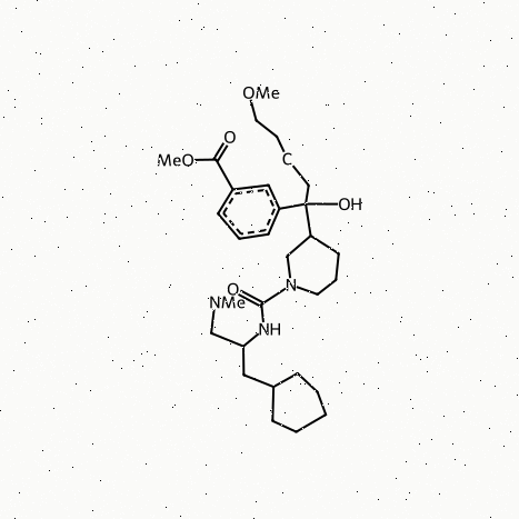 CNCC(CC1CCCCC1)NC(=O)N1CCCC(C(O)(CCCCOC)c2cccc(C(=O)OC)c2)C1